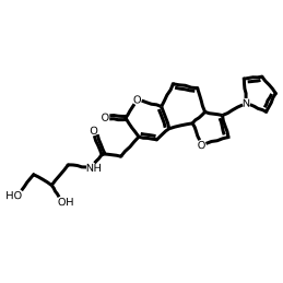 O=C(Cc1cc2c(oc1=O)C=CC1C(n3cccc3)=COC21)NCC(O)CO